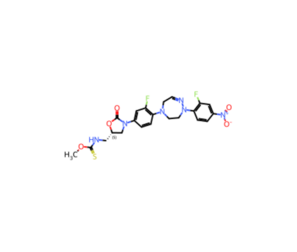 COC(=S)NC[C@H]1CN(c2ccc(N3CC=NN(c4ccc([N+](=O)[O-])cc4F)CC3)c(F)c2)C(=O)O1